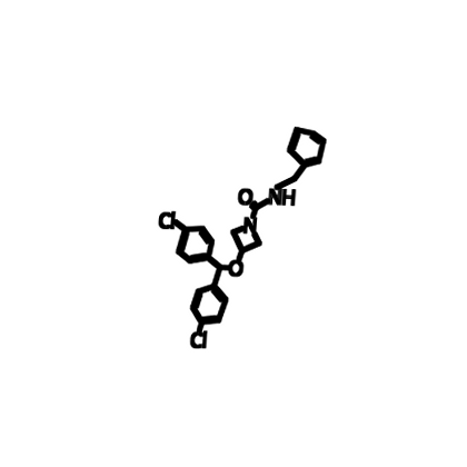 O=C(NCCc1ccccc1)N1CC(OC(c2ccc(Cl)cc2)c2ccc(Cl)cc2)C1